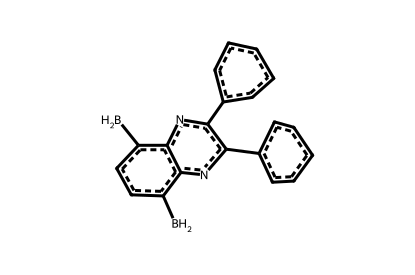 Bc1ccc(B)c2nc(-c3ccccc3)c(-c3ccccc3)nc12